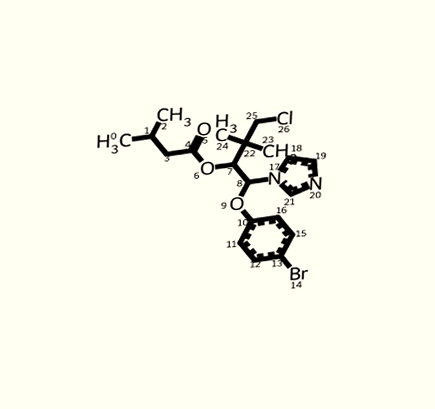 CC(C)CC(=O)OC(C(Oc1ccc(Br)cc1)n1ccnc1)C(C)(C)CCl